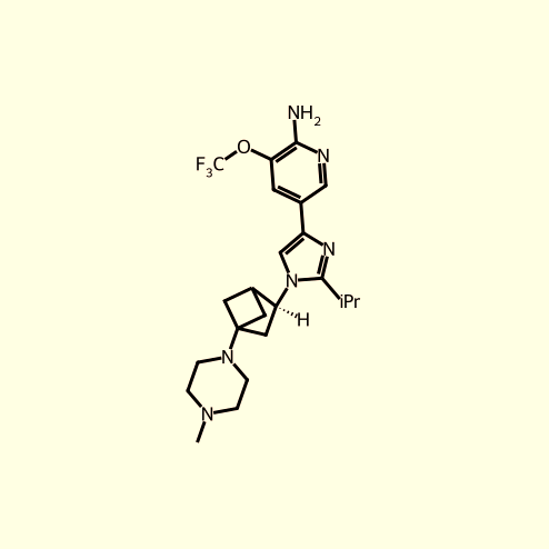 CC(C)c1nc(-c2cnc(N)c(OC(F)(F)F)c2)cn1[C@H]1CC2(N3CCN(C)CC3)CC1C2